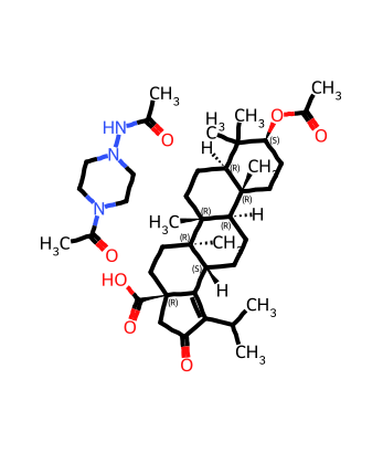 CC(=O)NN1CCN(C(C)=O)CC1.CC(=O)O[C@H]1CC[C@]2(C)[C@H]3CC[C@@H]4C5=C(C(C)C)C(=O)C[C@]5(C(=O)O)CC[C@@]4(C)[C@]3(C)CC[C@H]2C1(C)C